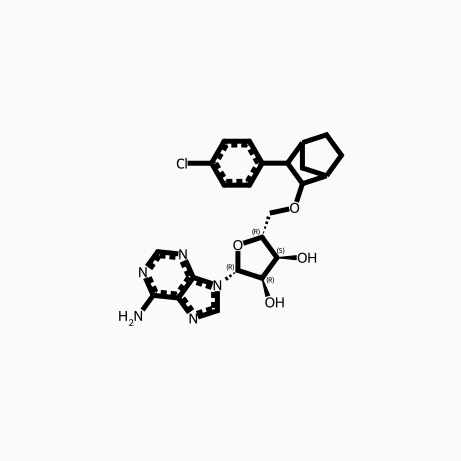 Nc1ncnc2c1ncn2[C@@H]1O[C@H](COC2C3CCC(C3)C2c2ccc(Cl)cc2)[C@@H](O)[C@H]1O